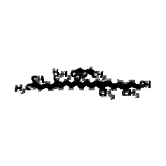 C=COC=C.CC(C)=CCC/C(C)=C/CC/C(C)=C/CC/C=C(\C)CC/C=C(\C)CCO